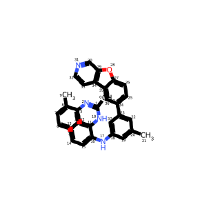 C/C(=N/c1ccccc1C)Nc1ccccc1Nc1cc(C)cc(-c2ccc3oc4cnccc4c3c2)c1